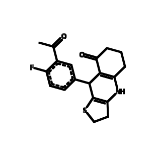 CC(=O)c1cc(C2C3=C(CCS3)NC3=C2C(=O)CCC3)ccc1F